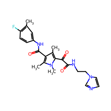 Cc1cc(NC(=O)c2c(C)c(C(=O)C(=O)NCCn3ccnc3)n(C)c2C)ccc1F